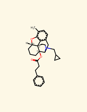 Cc1ccc2c3c1O[C@H]1CCC[C@@]4(OC(=O)CCc5ccccc5)C(C2)N(CC2CC2)CC[C@]314